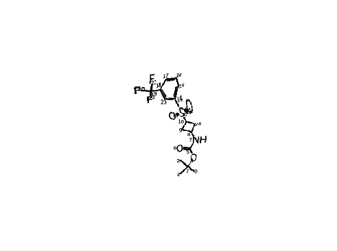 CC(C)(C)OC(=O)N[C@H]1C[C@@H](S(=O)(=O)c2cccc(C(F)(F)F)c2)C1